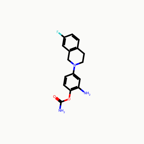 NC(=O)Oc1ccc(N2CCc3ccc(F)cc3C2)cc1N